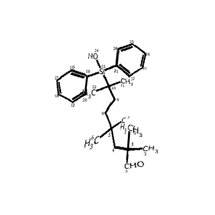 CC(C)(C=O)CC(C)(C)CCC(C)(C)[Si](O)(c1ccccc1)c1ccccc1